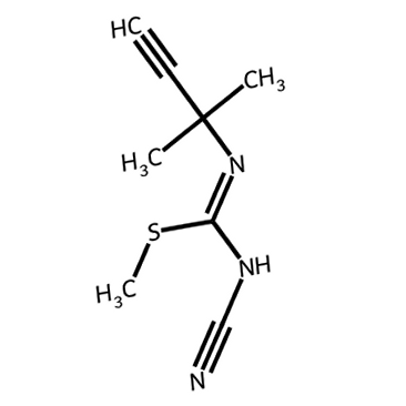 C#CC(C)(C)N=C(NC#N)SC